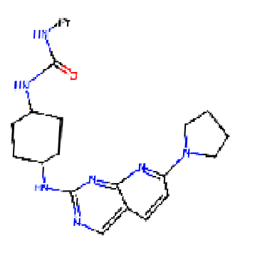 CC(C)NC(=O)NC1CCC(Nc2ncc3ccc(N4CCCC4)nc3n2)CC1